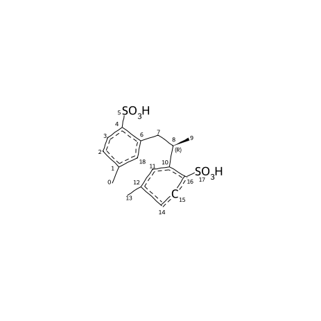 Cc1ccc(S(=O)(=O)O)c(C[C@@H](C)c2cc(C)ccc2S(=O)(=O)O)c1